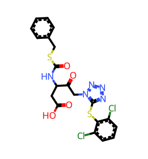 O=C(O)CC(NC(=O)SCc1ccccc1)C(=O)Cn1nnnc1Sc1c(Cl)cccc1Cl